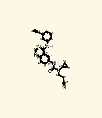 C#Cc1cccc(Nc2ncnc3ccc(NC(=O)N(CCC#N)C4CC4)cc23)c1